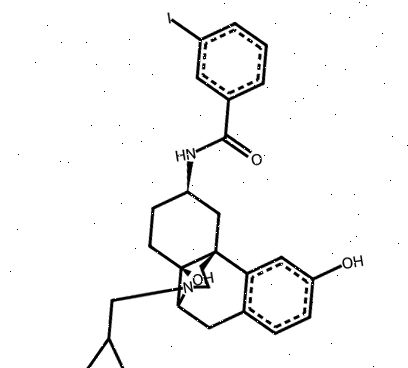 O=C(N[C@@H]1CC[C@@]2(O)C3Cc4ccc(O)cc4[C@@]2(CCN3CC2CC2)C1)c1cccc(I)c1